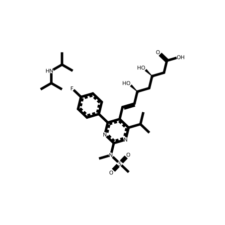 CC(C)NC(C)C.CC(C)c1nc(N(C)S(C)(=O)=O)nc(-c2ccc(F)cc2)c1C=C[C@@H](O)C[C@@H](O)CC(=O)O